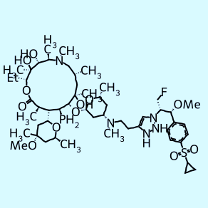 CC[C@H]1OC(=O)[C@H](C)C([C@H]2C[C@@](C)(OC)C[C@H](C)O2)[C@H](P)[C@@H](O[C@H]2C[C@@H](N(C)CCC3=CN([C@H](CF)[C@H](OC)c4ccc(S(=O)(=O)C5CC5)cc4)NN3)C[C@@H](C)O2)[C@](C)(O)C[C@@H](C)CN(C)[C@H](C)[C@@H](O)[C@]1(C)O